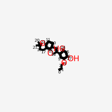 C=CCOc1cc(C2=Cc3ccc4c(c3OC2)CCC(C)(C)O4)c(O)cc1O